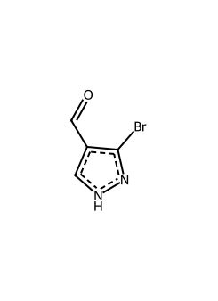 O=Cc1c[nH]nc1Br